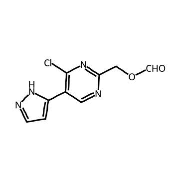 O=COCc1ncc(-c2ccn[nH]2)c(Cl)n1